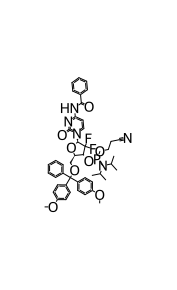 COc1ccc(C(OC[C@H]2O[C@@H](n3ccc(NC(=O)c4ccccc4)nc3=O)C(F)(F)[C@@H]2OP(OCCC#N)N(C(C)C)C(C)C)(c2ccccc2)c2ccc(OC)cc2)cc1